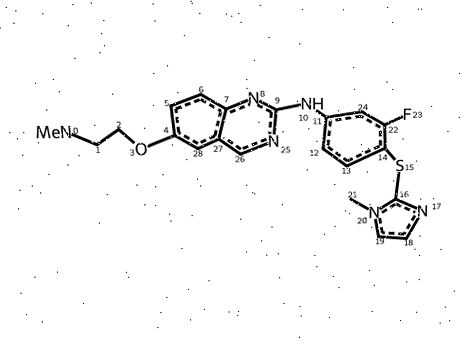 CNCCOc1ccc2nc(Nc3ccc(Sc4nccn4C)c(F)c3)ncc2c1